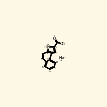 O=C([O-])c1cc2c(ccc3ccccc32)[nH]1.[Na+]